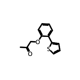 CC(=O)COc1ccccc1-c1cccs1